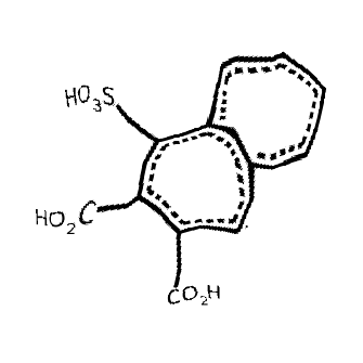 O=C(O)c1[c]c2ccccc2c(S(=O)(=O)O)c1C(=O)O